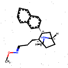 CON=CCC[C@@H]1[C@H]2CC[C@@H](C[C@H]1c1ccc3ccccc3c1)N2